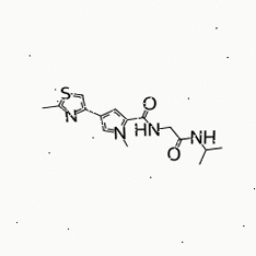 Cc1nc(-c2cc(C(=O)NCC(=O)NC(C)C)n(C)c2)cs1